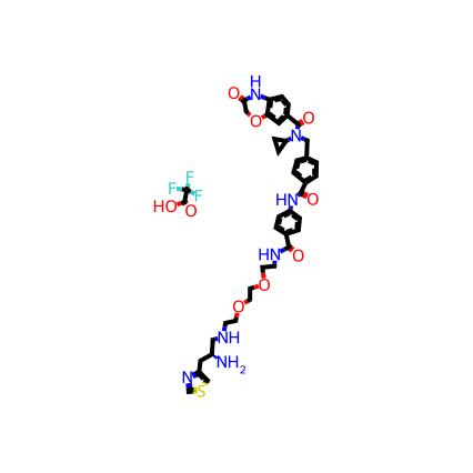 N[C@H](CNCCOCCOCCNC(=O)c1ccc(NC(=O)c2ccc(CN(C(=O)c3ccc4c(c3)OCC(=O)N4)C3CC3)cc2)cc1)Cc1cscn1.O=C(O)C(F)(F)F